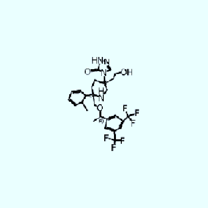 CC1C=CC=CC1[C@]1(CO[C@H](C)c2cc(C(F)(F)F)cc(C(F)(F)F)c2)CC[C@](CCO)(n2cn[nH]c2=O)CN1